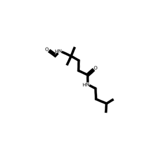 CC(C)CCNC(=O)CCC(C)(C)NC=O